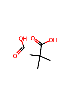 CC(C)(C)C(=O)O.O=CO